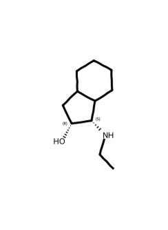 CCN[C@H]1C2CCCCC2C[C@H]1O